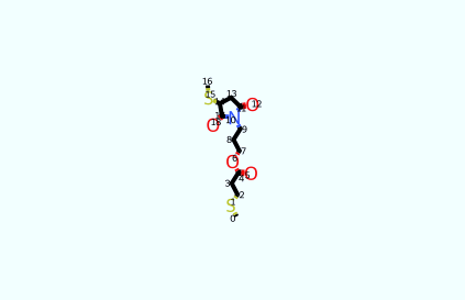 CSCCC(=O)OCCCN1C(=O)CC(SC)C1=O